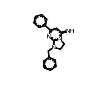 N=c1cc(-c2ccccc2)nc2n1CCN2Cc1ccccc1